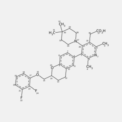 Cc1nc(C)c(-c2ccc3c(c2)CCC(COc2cccc(F)c2F)O3)c(N2CCC(C)(C)CC2)c1CC(=O)O